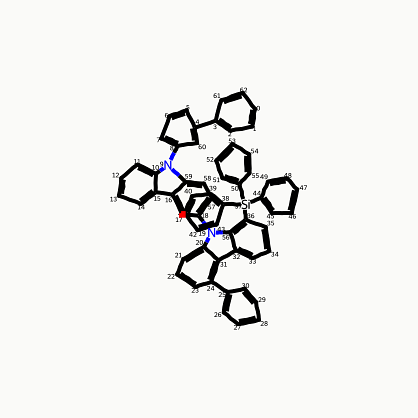 c1ccc(-c2cccc(-n3c4ccccc4c4cc(-n5c6cccc(-c7ccccc7)c6c6cccc([Si](c7ccccc7)(c7ccccc7)c7ccccc7)c65)ccc43)c2)cc1